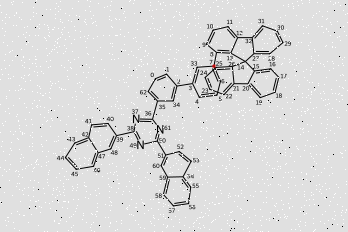 c1cc(-c2cccc(-c3cccc4c3C3(c5ccccc5-c5ccccc53)c3ccccc3-4)c2)cc(-c2nc(-c3ccc4ccccc4c3)nc(-c3ccc4ccccc4c3)n2)c1